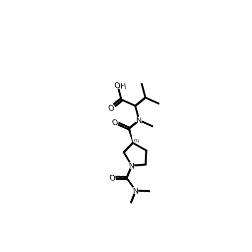 CC(C)C(C(=O)O)N(C)C(=O)[C@H]1CCN(C(=O)N(C)C)C1